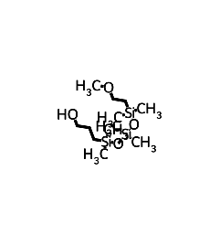 COCC[Si](C)(C)O[Si](C)(C)O[Si](C)(C)CCCO